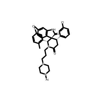 CC(=O)N1CCN(CCCN2C(=O)C[C@@H](c3cccc(Cl)c3)[C@]3(C(=O)Nc4cc(Cl)ccc43)[C@H]2c2cc(F)ccc2C)CC1